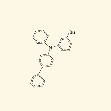 CCC(C)c1cccc(N(c2ccccc2)c2ccc(-c3ccccc3)cc2)c1